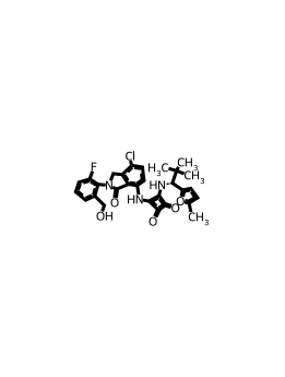 Cc1ccc([C@H](Nc2c(Nc3ccc(Cl)c4c3C(=O)N(c3c(F)cccc3CO)C4)c(=O)c2=O)C(C)(C)C)o1